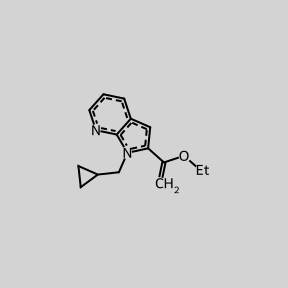 C=C(OCC)c1cc2cccnc2n1CC1CC1